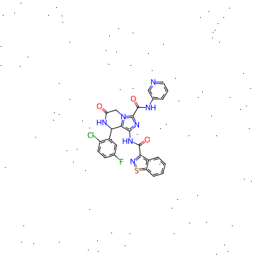 O=C1Cn2c(C(=O)Nc3cccnc3)nc(NC(=O)c3nsc4ccccc34)c2C(c2cc(F)ccc2Cl)N1